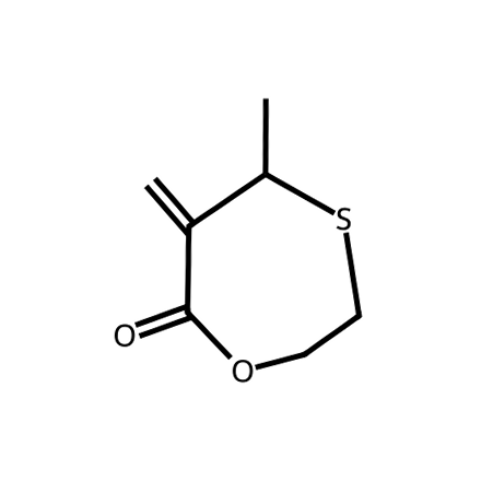 C=C1C(=O)OCCSC1C